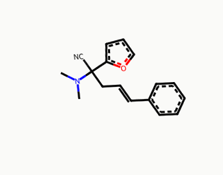 CN(C)C(C#N)(CC=Cc1ccccc1)c1ccco1